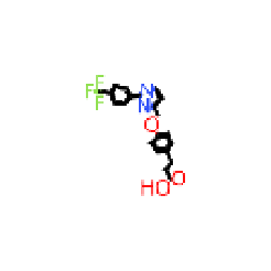 O=C(O)CCc1ccc(OCc2ccnc(-c3ccc(C(F)(F)F)cc3)n2)cc1